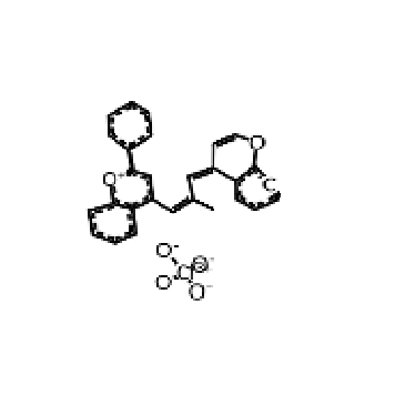 CC(=Cc1cc(-c2ccccc2)[o+]c2ccccc12)C=C1C=COc2ccccc21.[O-][Cl+3]([O-])([O-])[O-]